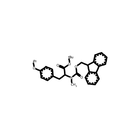 CC(C)Oc1ccc(CC(C(=O)OC(C)(C)C)N(C)C(=O)OCC2c3ccccc3-c3ccccc32)cc1